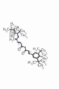 C=C(/C=C(\C(O)=C(/C)C(C)(C)C)C(C)(C)C)/C=C/C(=O)CC(=O)/C=C/c1cc(C(C)(C)C)c(O)c(C(C)(C)C)c1